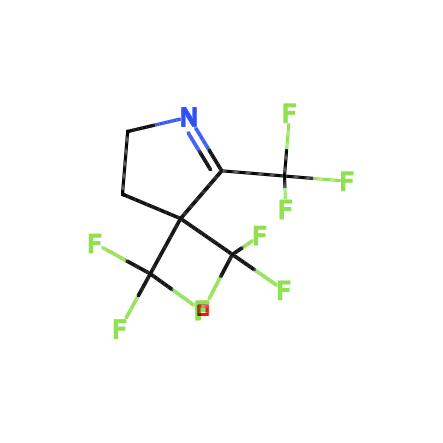 FC(F)(F)C1=NCCC1(C(F)(F)F)C(F)(F)F